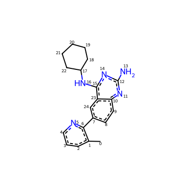 Cc1cccnc1-c1ccc2nc(N)nc(NC3CCCCC3)c2c1